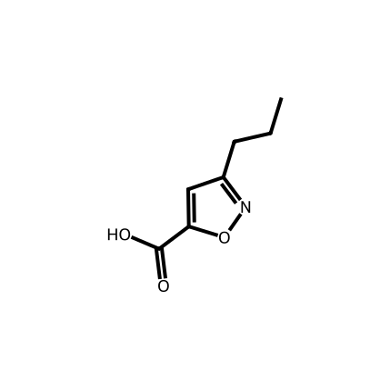 CCCc1cc(C(=O)O)on1